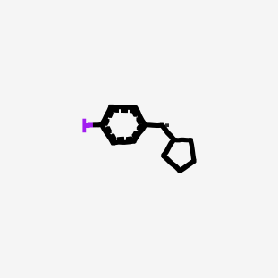 Ic1ccc([CH]C2CCCC2)cc1